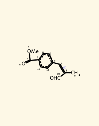 COC(=O)c1ccc(/C=C(/C)C=O)cc1